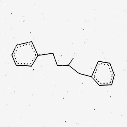 OC(CCc1ccccc1)Cc1ccccc1